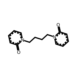 O=c1ccccn1CCCCn1ccccc1=O